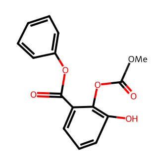 COC(=O)Oc1c(O)cccc1C(=O)Oc1ccccc1